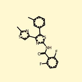 Cc1cccc(-c2sc(NC(=O)c3c(F)cccc3F)nc2-c2csc(C)n2)c1